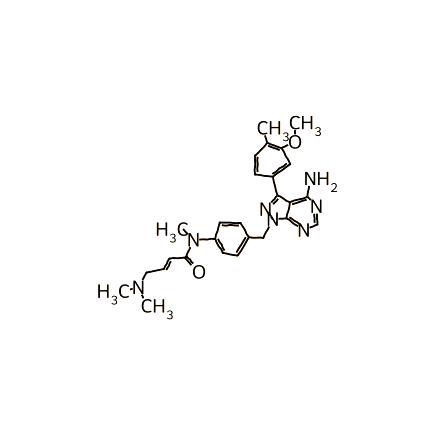 COc1cc(-c2nn(Cc3ccc(N(C)C(=O)/C=C/CN(C)C)cc3)c3ncnc(N)c23)ccc1C